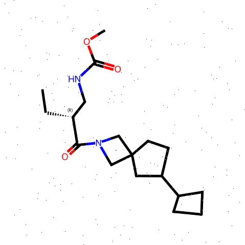 CC[C@H](CNC(=O)OC)C(=O)N1CC2(CCC(C3CCC3)C2)C1